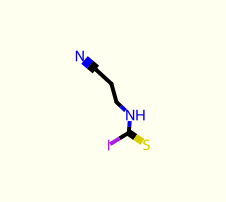 N#CCCNC(=S)I